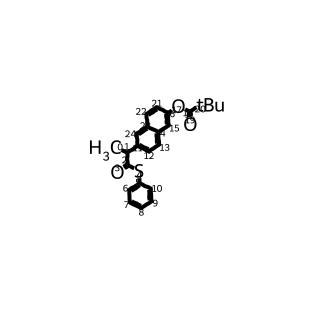 CC(C(=O)Sc1ccccc1)c1ccc2cc(OC(=O)C(C)(C)C)ccc2c1